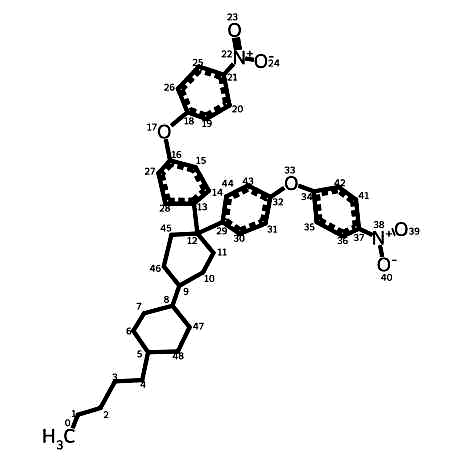 CCCCCC1CCC(C2CCC(c3ccc(Oc4ccc([N+](=O)[O-])cc4)cc3)(c3ccc(Oc4ccc([N+](=O)[O-])cc4)cc3)CC2)CC1